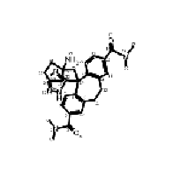 CN(C)C(=O)c1ccc2c(c1)CCc1cc(C(=O)N(C)C)ccc1C2(CC1(N)CCCC1)c1nnn[nH]1